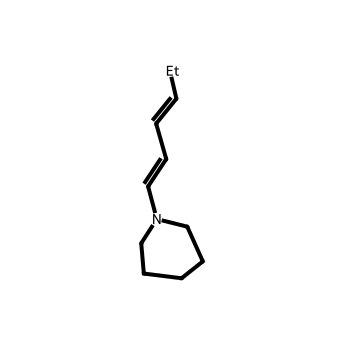 [CH2]CC=CC=CN1CCCCC1